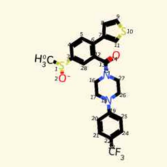 C[S+]([O-])c1ccc(-c2ccsc2)c(C(=O)N2CCN(c3ccc(C(F)(F)F)cc3)CC2)c1